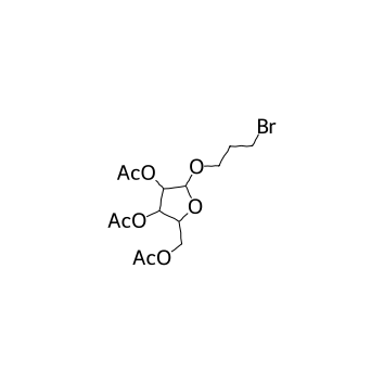 CC(=O)OCC1OC(OCCCBr)C(OC(C)=O)C1OC(C)=O